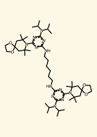 CC(C)N(c1nc(NCCCCCCNc2nc(N(C(C)C)C(C)C)nc(N3C(C)(C)CC4(CC3(C)C)OCCO4)n2)nc(N2C(C)(C)CC3(CC2(C)C)OCCO3)n1)C(C)C